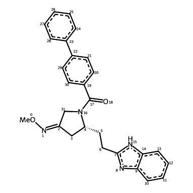 CON=C1C[C@@H](CCc2nc3ccccc3[nH]2)N(C(=O)c2ccc(-c3ccccc3)cc2)C1